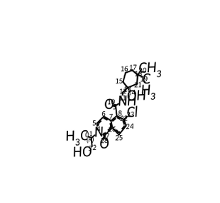 C[C@H](CO)n1ccc2c(C(=O)NCC3(O)CCCC(C)(C)C3)c(Cl)ccc2c1=O